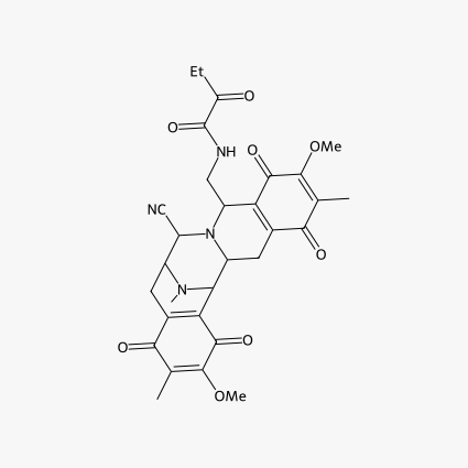 CCC(=O)C(=O)NCC1C2=C(CC3C4C5=C(CC(C(C#N)N13)N4C)C(=O)C(C)=C(OC)C5=O)C(=O)C(C)=C(OC)C2=O